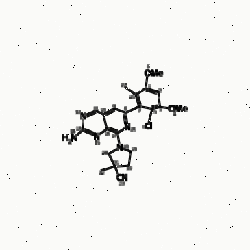 COc1cc(OC)c(Cl)c(-c2cc3cnc(N)nc3c(N3CCC(C)(C#N)C3)n2)c1C